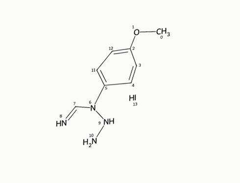 COc1ccc(N(C=N)NN)cc1.I